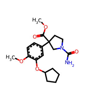 COC(=O)C1(c2ccc(OC)c(OC3CCCC3)c2)CCN(C(N)=O)C1